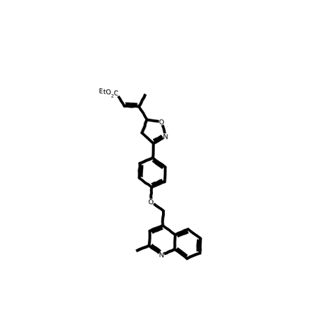 CCOC(=O)C=C(C)C1CC(c2ccc(OCc3cc(C)nc4ccccc34)cc2)=NO1